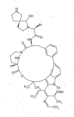 C=C/C(=C(\N=C/C)[C@H](C)OC)c1c2c3cc(ccc3n1CC)-c1cccc(c1)C[C@H](NC(=O)[C@H](C(C)C)N1CC[C@]3(CCNC3)C1O)C(=O)N1CCC[C@H](N1)C(=O)OCC(C)(C)C2